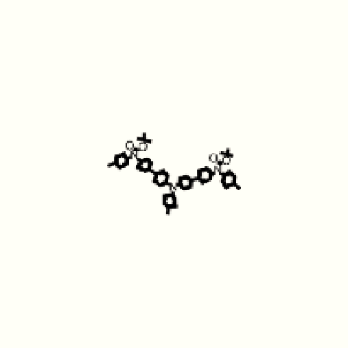 Cc1ccc(N(C(=O)OC(C)(C)C)c2ccc(-c3ccc(N(c4ccc(C)cc4)c4ccc(-c5ccc(N(C(=O)OC(C)(C)C)c6ccc(C)cc6)cc5)cc4)cc3)cc2)cc1